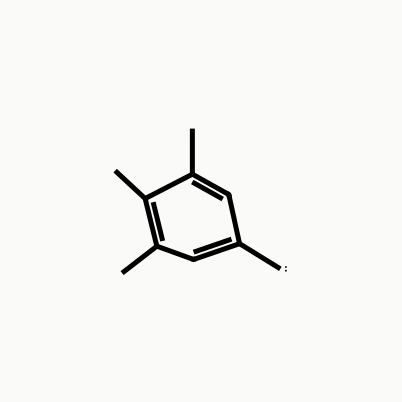 [CH]c1cc(C)c(C)c(C)c1